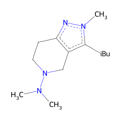 CCC(C)c1c2c(nn1C)CCN(N(C)C)C2